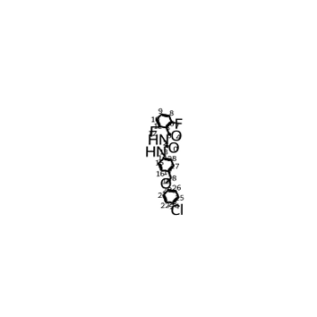 O=C(NC(=O)c1c(F)cccc1F)Nc1ccc(COc2ccc(Cl)cc2)cc1